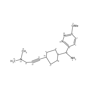 COc1ccc(C(N)C2CCC(C#CCN(C)C)CC2)nn1